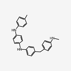 CNc1ccc(Cc2ccc(Nc3ccc(Nc4ccc(C)cc4)cc3)cc2)cc1